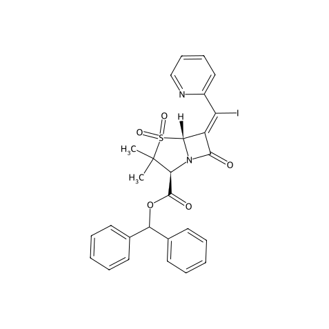 CC1(C)[C@H](C(=O)OC(c2ccccc2)c2ccccc2)N2C(=O)/C(=C(\I)c3ccccn3)[C@H]2S1(=O)=O